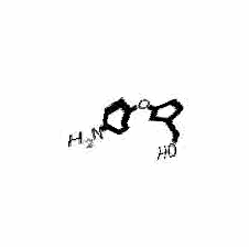 Nc1ccc(OC2CCC(CO)C2)cc1